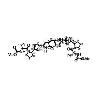 COC(=O)NC(C(=O)N1CCCC1c1ncc(-c2cc3cc4[nH]c(-c5cnc(C6CCCN6C(=O)[C@@H](NC(=O)OC)C(C)C)[nH]5)cc4cc3[nH]2)[nH]1)C(C)C